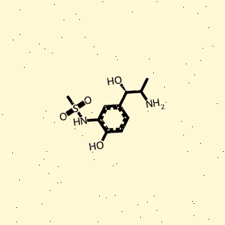 CC(N)[C@H](O)c1ccc(O)c(NS(C)(=O)=O)c1